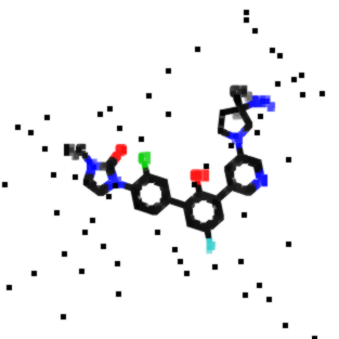 Cn1ccn(-c2ccc(-c3cc(F)cc(-c4cncc(N5CC[C@](C)(N)C5)c4)c3O)cc2Cl)c1=O